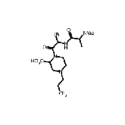 CNC(C)C(=O)NC(C(=O)N1CCN(CCC(F)(F)F)CC1C(=O)O)C(C)C